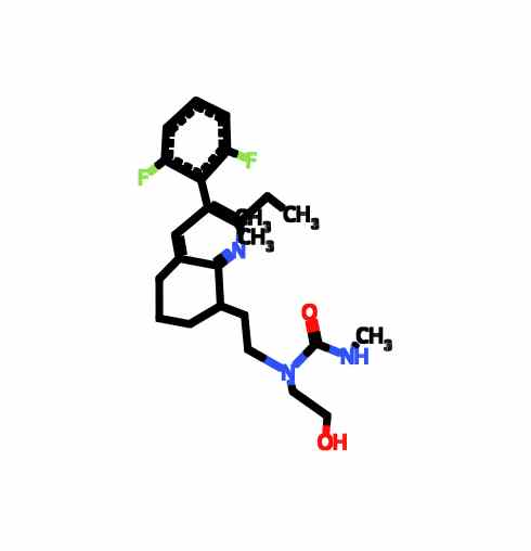 CC/C(C)=C(/C=C1/CCCC(CCN(CCO)C(=O)NC)/C1=N/C)c1c(F)cccc1F